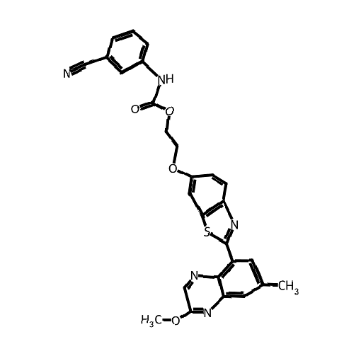 COc1cnc2c(-c3nc4ccc(OCCOC(=O)Nc5cccc(C#N)c5)cc4s3)cc(C)cc2n1